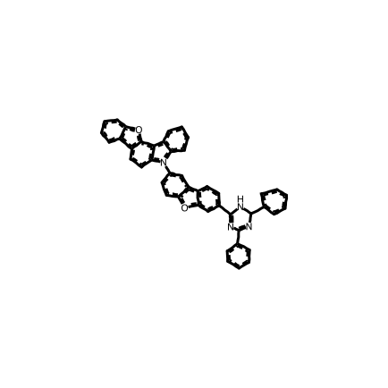 c1ccc(C2=NC(c3ccccc3)NC(c3ccc4c(c3)oc3ccc(-n5c6ccccc6c6c7oc8ccccc8c7ccc65)cc34)=N2)cc1